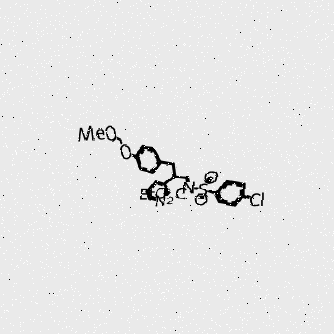 CCOC(=O)N(CC(Cc1ccc(OCOC)cc1)c1cccnc1)S(=O)(=O)c1ccc(Cl)cc1